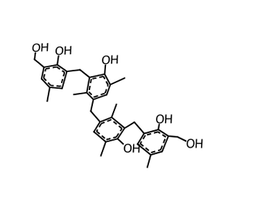 Cc1cc(CO)c(O)c(Cc2c(C)c(Cc3cc(C)c(O)c(Cc4cc(C)cc(CO)c4O)c3C)cc(C)c2O)c1